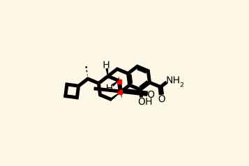 C[C@@H](C1CCC1)C1CC[C@]23CC(=O)CC[C@H]2[C@H]1Cc1ccc(C(N)=O)c(O)c13